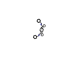 O=C(/C=C/c1ccccc1)N1CCN(C(=O)/C=C/c2ccccc2)CC1